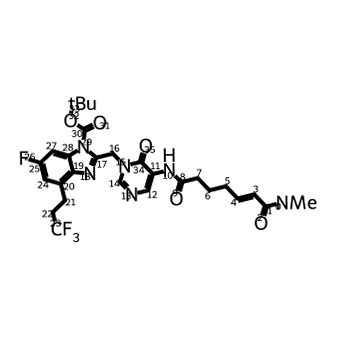 CNC(=O)/C=C/CCCC(=O)Nc1cncn(Cc2nc3c(CCC(F)(F)F)cc(F)cc3n2C(=O)OC(C)(C)C)c1=O